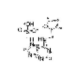 CS(=O)(=O)O.c1coc(CNc2ncnc3nc[nH]c23)c1